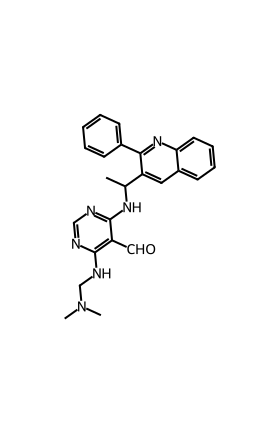 CC(Nc1ncnc(NCN(C)C)c1C=O)c1cc2ccccc2nc1-c1ccccc1